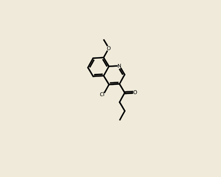 CCCC(=O)c1cnc2c(OC)cccc2c1Cl